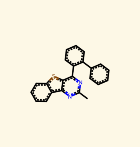 Cc1nc(-c2ccccc2-c2ccccc2)c2sc3ccccc3c2n1